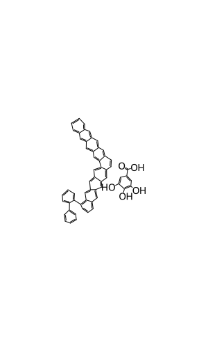 O=C(O)c1cc(O)c(O)c(O)c1.c1ccc(-c2ccccc2-c2cccc3cc4cc5cc6ccc7cc8cc9cc%10ccccc%10cc9cc8cc7c6cc5cc4cc23)cc1